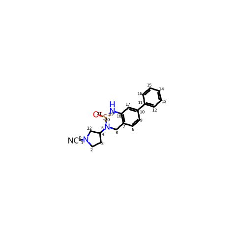 N#CN1CCC(N2Cc3ccc(-c4ccccc4)cc3N[S+]2[O-])C1